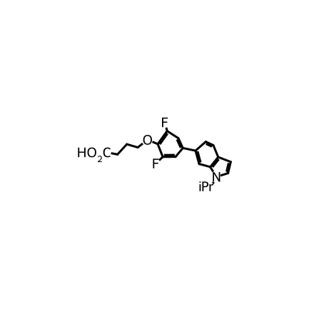 CC(C)n1ccc2ccc(-c3cc(F)c(OCCCC(=O)O)c(F)c3)cc21